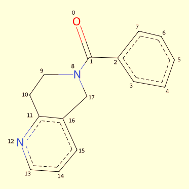 O=C(c1ccccc1)N1CCc2ncccc2C1